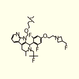 CC1Cc2c(n(COCCS(C)(C)C)c3ncccc23)C(c2c(F)cc(OCCN3CC(CF)C3)cc2F)N1CC(C)(C)F